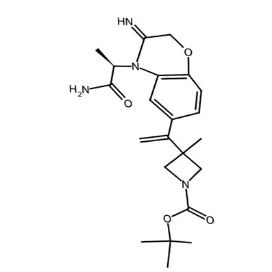 C=C(c1ccc2c(c1)N([C@H](C)C(N)=O)C(=N)CO2)C1(C)CN(C(=O)OC(C)(C)C)C1